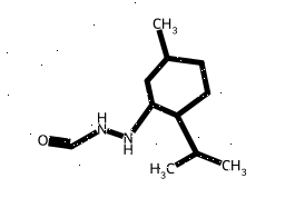 CC1CCC(C(C)C)C(NNC=O)C1